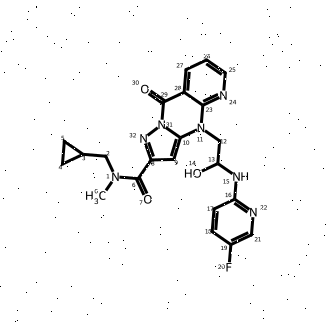 CN(CC1CC1)C(=O)c1cc2n(CC(O)Nc3ccc(F)cn3)c3ncccc3c(=O)n2n1